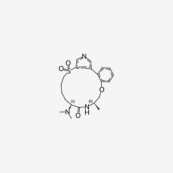 C[C@@H]1COc2ccccc2-c2cncc(c2)S(=O)(=O)CCCC[C@H](N(C)C)C(=O)N1